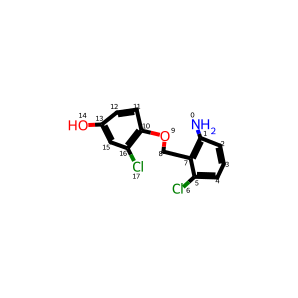 Nc1cccc(Cl)c1COc1ccc(O)cc1Cl